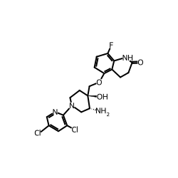 N[C@@H]1CN(c2ncc(Cl)cc2Cl)CC[C@]1(O)COc1ccc(F)c2c1CCC(=O)N2